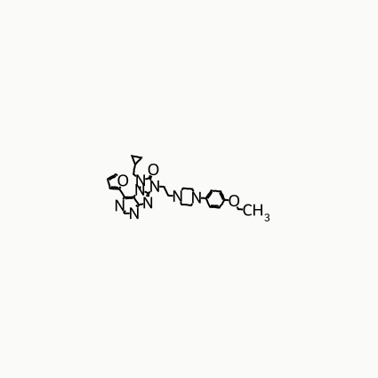 CCOc1ccc(N2CCN(CCn3c(=O)n(CC4CC4)n4c5c(-c6ccco6)ncnc5nc34)CC2)cc1